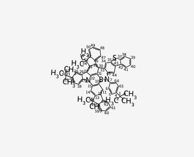 CC(C)(C)c1ccc(N2B3c4cc5c(cc4-n4c6ccc(C(C)(C)C)cc6c6c7c(c(c3c64)-c3cc4sc6ccccc6c4cc32)-c2ccccc2C7(C)C)C(C)(C)c2ccccc2-5)cc1